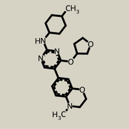 CC1CCC(Nc2ncc(-c3ccc4c(c3)OCCN4C)c(OC3CCOC3)n2)CC1